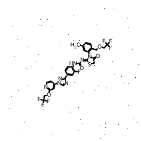 Cc1ccc(COCC(F)(F)F)c(N2C(=O)CSC2=NC(=O)Nc2ccc(-c3ncn(-c4ccnc(OCC(F)(F)F)c4)n3)cc2F)c1